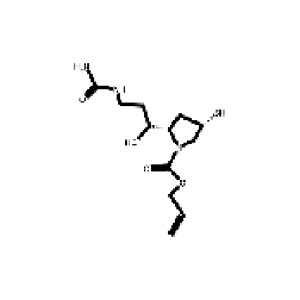 C=CCOC(=O)N1C[C@@H](S)C[C@H]1C(O)CCNC(N)=O